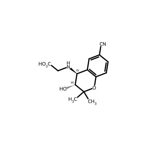 CC1(C)Oc2ccc(C#N)cc2[C@H](NCC(=O)O)[C@H]1O